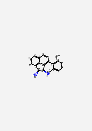 CC(C)c1cccc(C(C)C)c1-c1ccc2cccc3c2c1C(=N)C3=N